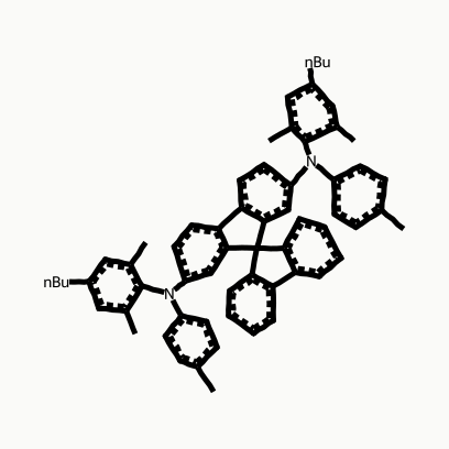 CCCCc1cc(C)c(N(c2ccc(C)cc2)c2ccc3c(c2)C2(c4ccccc4-c4ccccc42)c2cc(N(c4ccc(C)cc4)c4c(C)cc(CCCC)cc4C)ccc2-3)c(C)c1